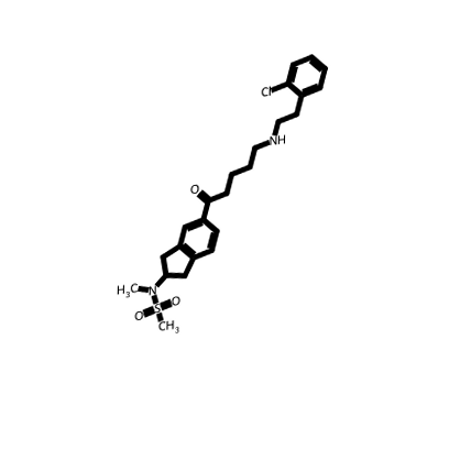 CN(C1Cc2ccc(C(=O)CCCCNCCc3ccccc3Cl)cc2C1)S(C)(=O)=O